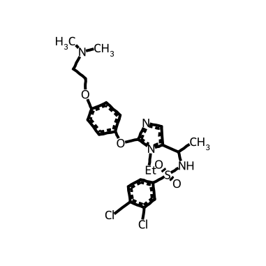 CCn1c(C(C)NS(=O)(=O)c2ccc(Cl)c(Cl)c2)cnc1Oc1ccc(OCCN(C)C)cc1